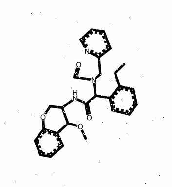 CCc1ccccc1C(C(=O)NC1COc2ccccc2C1OC)N(C=O)Cc1ccccn1